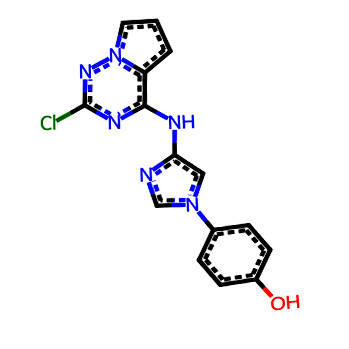 Oc1ccc(-n2cnc(Nc3nc(Cl)nn4cccc34)c2)cc1